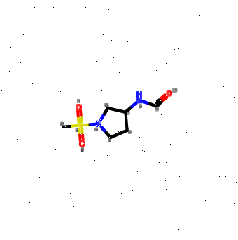 CS(=O)(=O)N1CCC(N[C]=O)C1